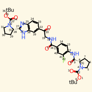 CC(C)(C)OC(=O)N1CCC[C@H]1C(=O)Nc1ccc(C(=O)NCC(=O)c2ccc3nc([C@@H]4CCCN4C(=O)OC(C)(C)C)[nH]c3c2)cc1F